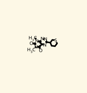 Cn1c(=O)c2nc(C3CCCSC3)nnc2n(C)c1=O